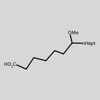 CCCCCCCC(CCCCCC(=O)O)OC